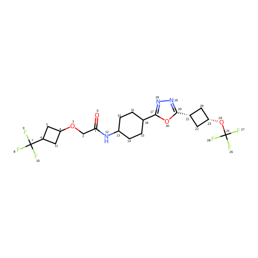 O=C(COC1CC(C(F)(F)F)C1)NC1CCC(c2nnc([C@H]3C[C@@H](OC(F)(F)F)C3)o2)CC1